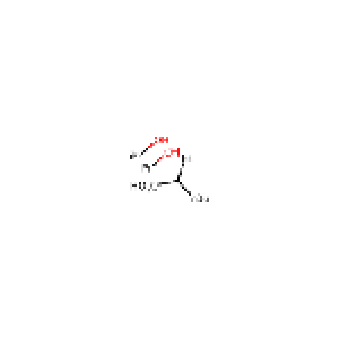 CC(C)O.CC(C)O.CCCCC(CC)C(=O)O